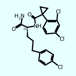 NC(=O)[C@H](CCCc1ccc(Cl)cc1)NC(=O)C1(c2ccc(Cl)cc2Cl)CC1